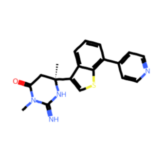 CN1C(=N)N[C@](C)(c2csc3c(-c4ccncc4)cccc23)CC1=O